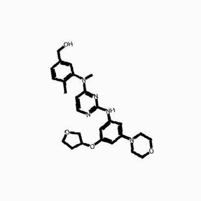 Cc1ccc(CO)cc1N(C)c1ccnc(Nc2cc(OC3CCOC3)cc(N3CCOCC3)c2)n1